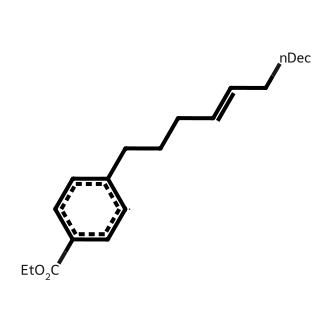 CCCCCCCCCCCC=CCCCc1[c]cc(C(=O)OCC)cc1